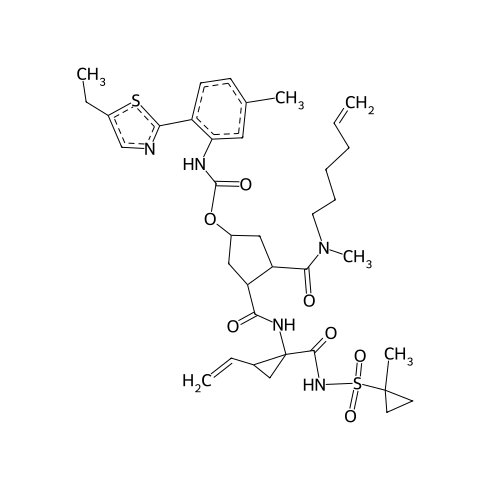 C=CCCCCN(C)C(=O)C1CC(OC(=O)Nc2cc(C)ccc2-c2ncc(CC)s2)CC1C(=O)NC1(C(=O)NS(=O)(=O)C2(C)CC2)CC1C=C